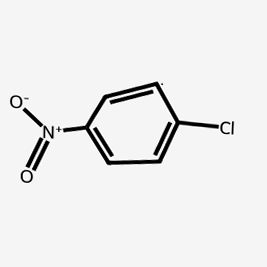 O=[N+]([O-])c1c[c]c(Cl)cc1